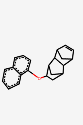 C1=CC2CC1C1C3CC(Oc4cccc5ccccc45)C(C3)C21